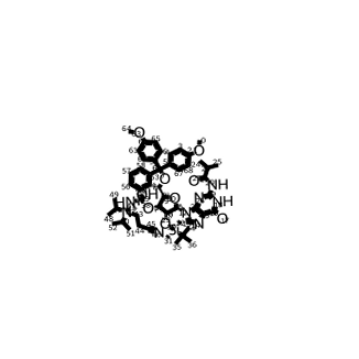 COc1ccc(C(OC[C@H]2O[C@@H](n3cnc4c(=O)[nH]c(NC(=O)C(C)C)nc43)[C@H](O[Si](C)(C)C(C)(C)C)[C@@H]2OP(O)N[N+](CCC#N)(C(C)C)C(C)C)(c2ccccc2)c2ccc(OC)cc2)cc1